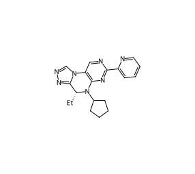 CC[C@@H]1c2nncn2-c2cnc(-c3ccccn3)nc2N1C1CCCC1